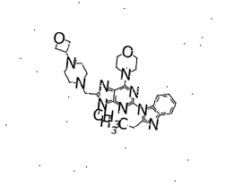 CCc1nc2ccccc2n1-c1nc(N2CCOCC2)c2nc(CN3CCN(C4COC4)CC3)n(C)c2n1